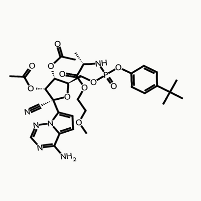 COCCOC(=O)[C@H](C)NP(=O)(OC[C@H]1O[C@@](C#N)(c2ccc3c(N)ncnn23)[C@H](OC(C)=O)[C@@H]1OC(C)=O)Oc1ccc(C(C)(C)C)cc1